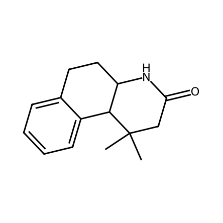 CC1(C)CC(=O)NC2CCc3ccccc3C21